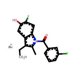 CC[C@H](C)C(C(=O)O)c1c(C)n(C(=O)c2cccc(F)c2)c2cc(F)c(O)cc12